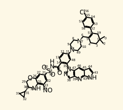 CC1(C)CCC(CN2CCN(c3ccc(C(=O)NS(=O)(=O)c4cc(N=O)c5c(c4)OC[C@H](C4CC4)N5)c(-n4ncc5nc6[nH]ccc6cc54)c3)CC2)=C(c2ccc(Cl)cc2)C1